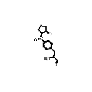 NC(C=O)Cc1ccc([S+]([O-])C2CCCC2=O)cc1